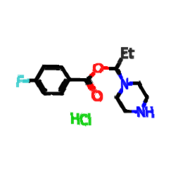 CCC(OC(=O)c1ccc(F)cc1)N1CCNCC1.Cl